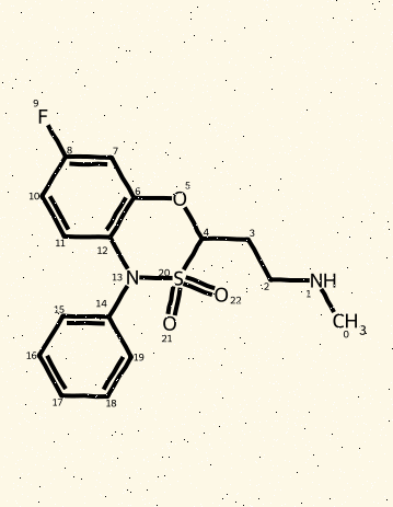 CNCCC1Oc2cc(F)ccc2N(c2ccccc2)S1(=O)=O